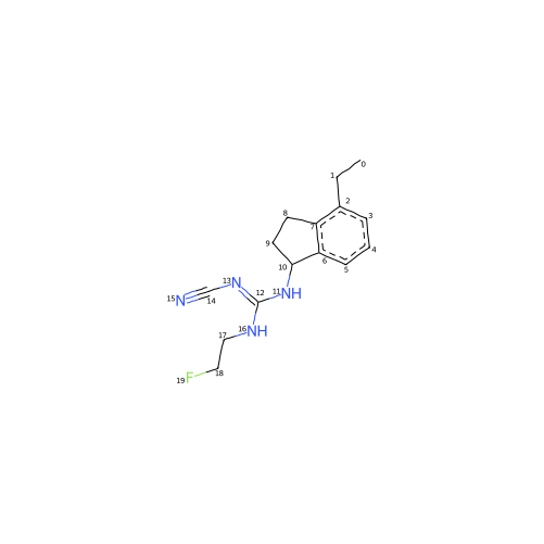 CCc1cccc2c1CCC2NC(=NC#N)NCCF